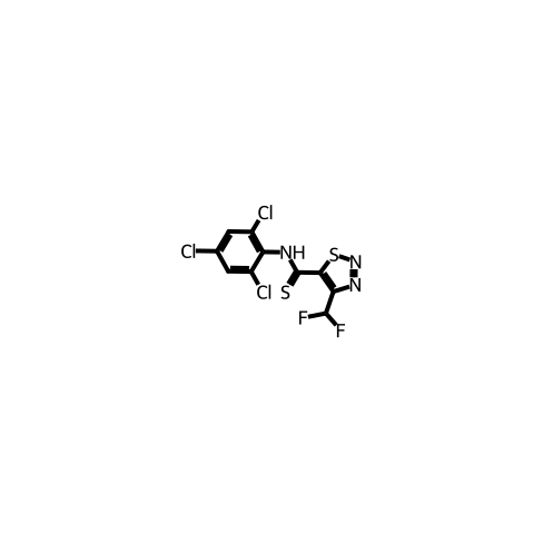 FC(F)c1nnsc1C(=S)Nc1c(Cl)cc(Cl)cc1Cl